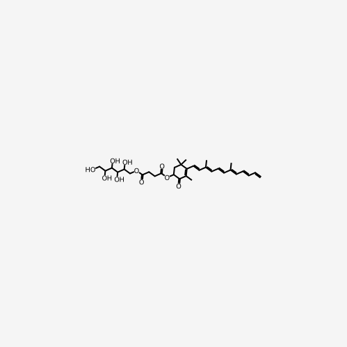 C=C/C=C/C=C(C)/C=C/C=C(C)/C=C/C1=C(C)C(=O)C(OC(=O)CCC(=O)OCC(O)C(O)C(O)C(O)CO)CC1(C)C